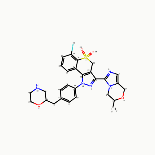 CC1Cn2c(cnc2-c2nn(-c3ccc(CC4CNCCO4)cc3)c3c2CS(=O)(=O)c2c(F)cccc2-3)CO1